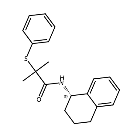 CC(C)(Sc1ccccc1)C(=O)N[C@H]1CCCc2ccccc21